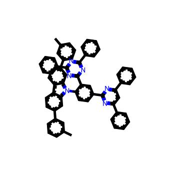 Cc1cccc(-c2ccc3c4ccc(-c5cccc(C)c5)cc4n(-c4ccc(-c5nc(-c6ccccc6)cc(-c6ccccc6)n5)cc4-c4nc(-c5ccccc5)nc(-c5ccccc5)n4)c3c2)c1